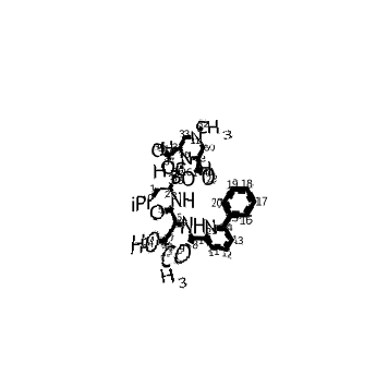 CC(C)C[C@H](NC(=O)C(NC(=O)c1cccc(-c2ccccc2)n1)[C@@H](C)O)B1OC(=O)[C@@H]2CN(C)C[C@@H](C(=O)O1)N2C